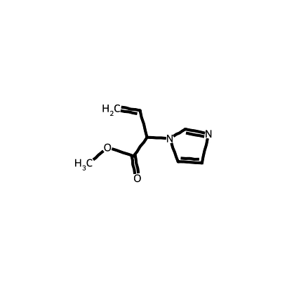 C=CC(C(=O)OC)n1ccnc1